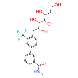 CNC(=O)c1cccc(-c2ccc(CC(O)C(O)C(O)C(O)CCO)c(C(F)(F)F)c2)c1